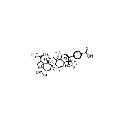 C=C(C)C1CC[C@]2(C(=O)O)CC[C@]3(C)[C@H](CC[C@@H]4[C@@]5(C)[C@H](O)C=C(c6ccc(C(=O)O)cc6)C(C)(C)[C@@H]5CC[C@]43C)[C@@H]12